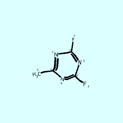 Cc1nc(F)nc(F)n1